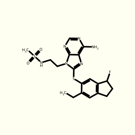 CCc1cc2c(cc1Sc1nc3c(N)ncnc3n1CCNS(C)(=O)=O)C(F)CC2